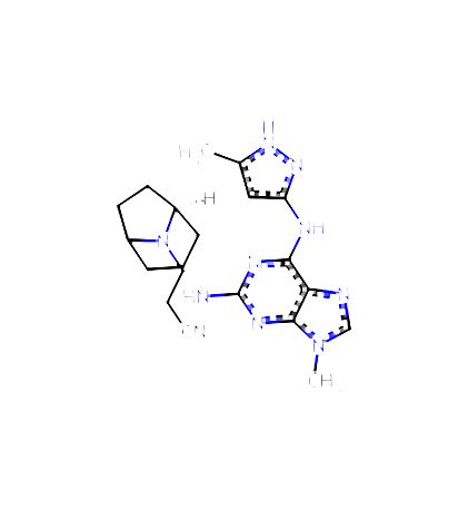 Cc1cc(Nc2nc(N[C@@H]3CC4CC[C@@H](C3)N4CCC#N)nc3c2ncn3C)n[nH]1